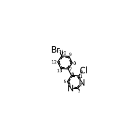 Clc1ncncc1-c1ccc(Br)cc1